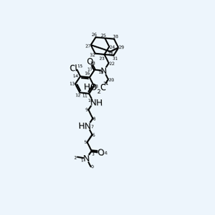 CN(C)C(=O)CCNCCNc1ccc(Cl)c(C(=O)N(CC(=O)O)CC23CC4CC(CC(C4)C2)C3)c1